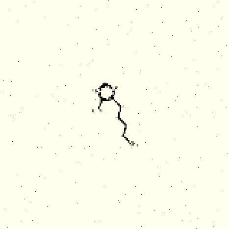 CCCCCc1o[c]nc1C